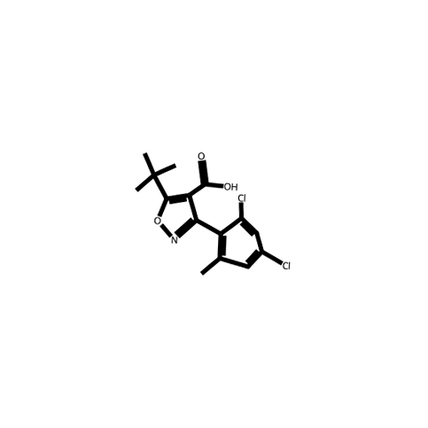 Cc1cc(Cl)cc(Cl)c1-c1noc(C(C)(C)C)c1C(=O)O